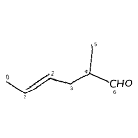 CC=CCC(C)C=O